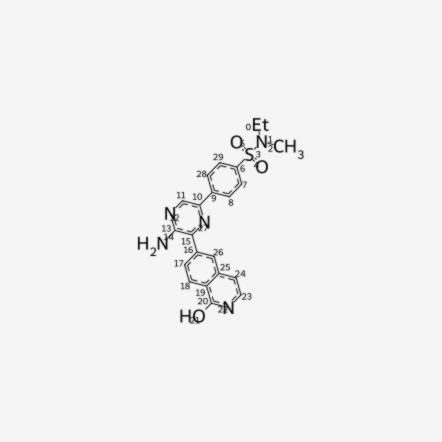 CCN(C)S(=O)(=O)c1ccc(-c2cnc(N)c(-c3ccc4c(O)nccc4c3)n2)cc1